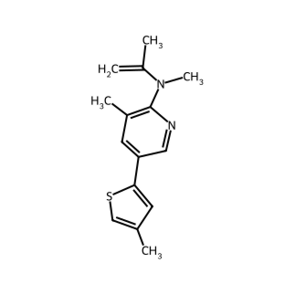 C=C(C)N(C)c1ncc(-c2cc(C)cs2)cc1C